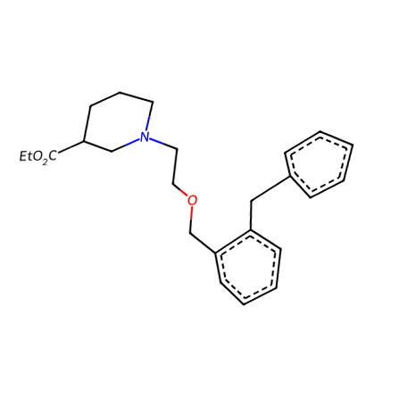 CCOC(=O)C1CCCN(CCOCc2ccccc2Cc2ccccc2)C1